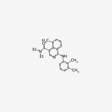 CCN(CC)C(=O)c1cnc(Nc2cccc(C)c2C)c2cccc(C)c12